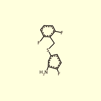 Nc1cc(SCc2c(F)cccc2F)ccc1F